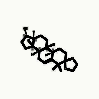 CC1(C)C2=CC[C@H]3[C@@H]4CC[C@H](O)[C@@]4(C)CC[C@@H]3[C@@]2(C)CCC12OCCO2